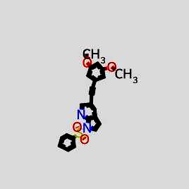 COc1cc(C#Cc2cnc3c(ccn3S(=O)(=O)c3ccccc3)c2)cc(OC)c1